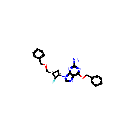 Nc1nc(OCc2ccccc2)c2ncn([C@@H]3C[C@H](COCc4ccccc4)C3F)c2n1